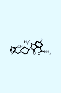 Cc1ncsc1CN1CCC(N2C(=O)c3c(C(N)=O)cc(F)cc3C2C)CC1